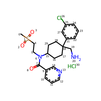 CS(=O)(=O)CCN(C(=O)c1cccnc1)C1CCC(CN)(c2cccc(Cl)c2)CC1.Cl